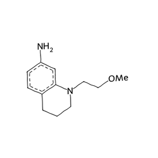 COCCN1CCCc2ccc(N)cc21